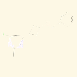 Cc1nc(Cl)cc([C@H]2C[C@@H](OCc3ccccc3)C2)n1